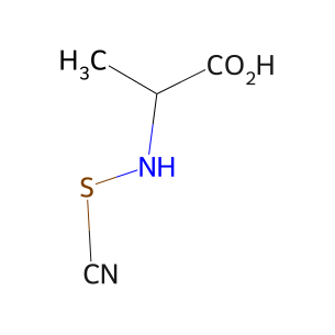 CC(NSC#N)C(=O)O